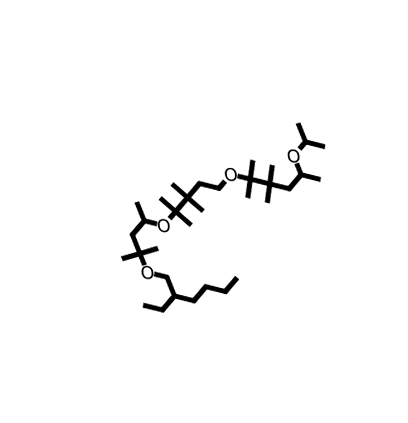 CCCCC(CC)COC(C)(C)CC(C)OC(C)(C)C(C)(C)CCOC(C)(C)C(C)(C)CC(C)OC(C)C